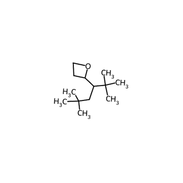 CC(C)(C)CC(C1CCO1)C(C)(C)C